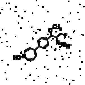 CO[C@H](c1ccc(C2=CC=CN(O)C=C2)cc1)[C@@H](CF)N=[N+]=[N-]